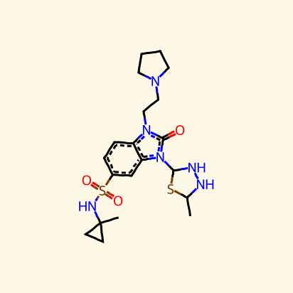 CC1NNC(n2c(=O)n(CCN3CCCC3)c3ccc(S(=O)(=O)NC4(C)CC4)cc32)S1